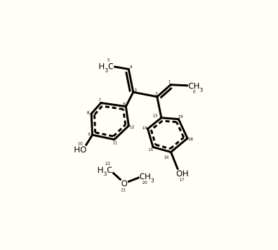 C/C=C(/C(=C/C)c1ccc(O)cc1)c1ccc(O)cc1.COC